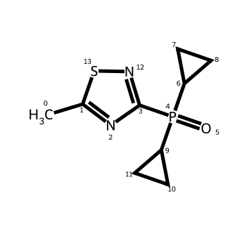 Cc1nc(P(=O)(C2CC2)C2CC2)ns1